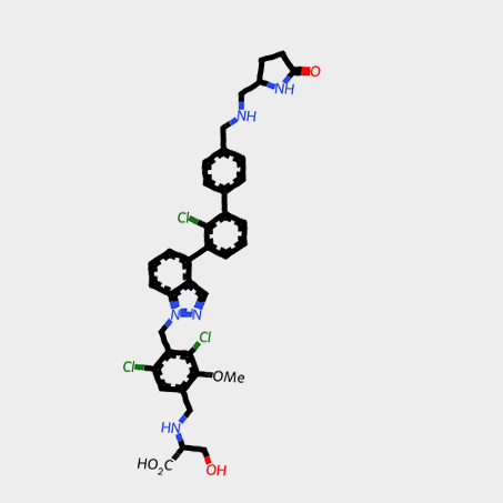 COc1c(CNC(CO)C(=O)O)cc(Cl)c(Cn2ncc3c(-c4cccc(-c5ccc(CNCC6CCC(=O)N6)cc5)c4Cl)cccc32)c1Cl